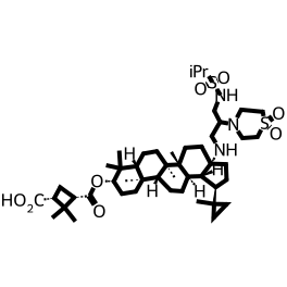 CC(C)S(=O)(=O)NCC(CN[C@]12CC[C@@H](C3(C)CC3)[C@@H]1[C@H]1CC[C@@H]3[C@@]4(C)CC[C@H](OC(=O)[C@H]5C[C@@H](C(=O)O)C5(C)C)C(C)(C)[C@@H]4CC[C@@]3(C)[C@]1(C)CC2)N1CCS(=O)(=O)CC1